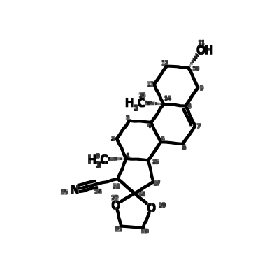 C[C@]12CCC3C(CC=C4C[C@@H](O)CC[C@@]43C)C1CC1(OCCO1)C2C#N